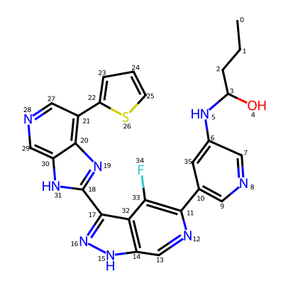 CCCC(O)Nc1cncc(-c2ncc3[nH]nc(-c4nc5c(-c6cccs6)cncc5[nH]4)c3c2F)c1